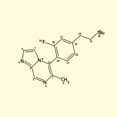 Cc1ncc2nccn2c1-c1ccc(CCC(C)(C)C)cc1F